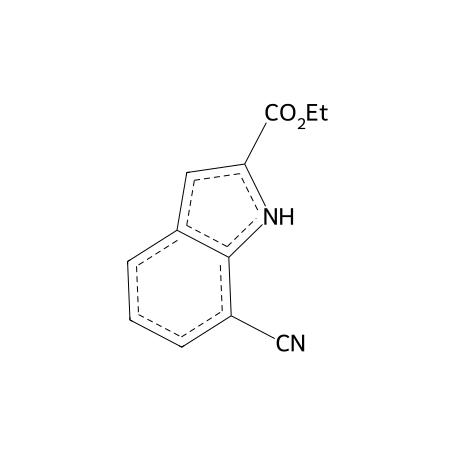 CCOC(=O)c1cc2cccc(C#N)c2[nH]1